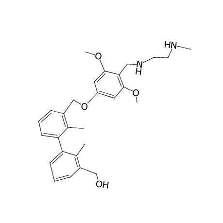 CNCCNCc1c(OC)cc(OCc2cccc(-c3cccc(CO)c3C)c2C)cc1OC